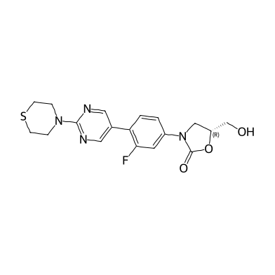 O=C1O[C@@H](CO)CN1c1ccc(-c2cnc(N3CCSCC3)nc2)c(F)c1